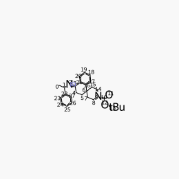 CC(/N=C1\CCC2(CCN(C(=O)OC(C)(C)C)CC2)c2ccccc21)c1ccccc1